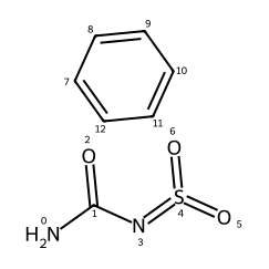 NC(=O)N=S(=O)=O.c1ccccc1